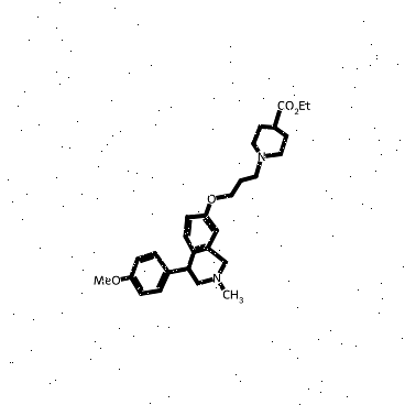 CCOC(=O)C1CCN(CCCOc2ccc3c(c2)CN(C)CC3c2ccc(OC)cc2)CC1